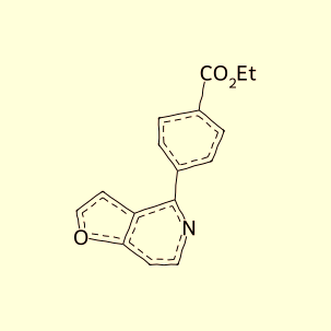 CCOC(=O)c1ccc(-c2nccc3occc23)cc1